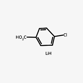 O=C(O)c1ccc(Cl)cc1.[LiH]